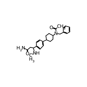 CNC(CC(N)=O)c1ccc(C2CCC(N(Cc3ccccc3)C(C)=O)CC2)cc1